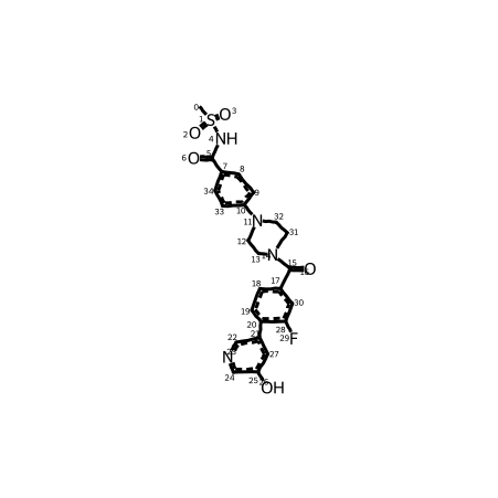 CS(=O)(=O)NC(=O)c1ccc(N2CCN(C(=O)c3ccc(-c4cncc(O)c4)c(F)c3)CC2)cc1